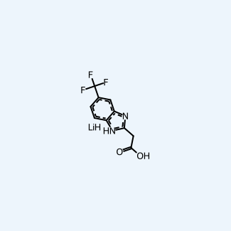 O=C(O)Cc1nc2cc(C(F)(F)F)ccc2[nH]1.[LiH]